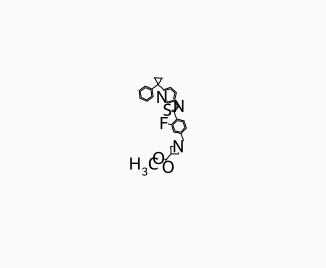 COC(=O)C1CN(Cc2ccc(-c3nc4ccc(C5(c6ccccc6)CC5)nc4s3)c(F)c2)C1